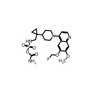 COc1cc2nccc(N3CCC(C4(CNS(=O)(=O)OC(N)=O)CC4)CC3)c2cc1OCF